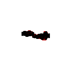 Cc1c(OCCC2CCN(CCN3CCN(c4cccc5c(C6CCC(=O)NC6=O)nn(C)c45)CC3)CC2)cccc1-c1ccc(N2CCc3cccc(C(=O)Nc4nc5ccccc5s4)c3C2)nc1C(=O)O